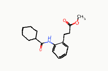 COC(=O)CCc1ccccc1NC(=O)C1CCCCC1